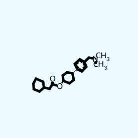 CN(C)Cc1ccc([C@H]2CC[C@H](OC(=O)CC3CCCCC3)CC2)cc1